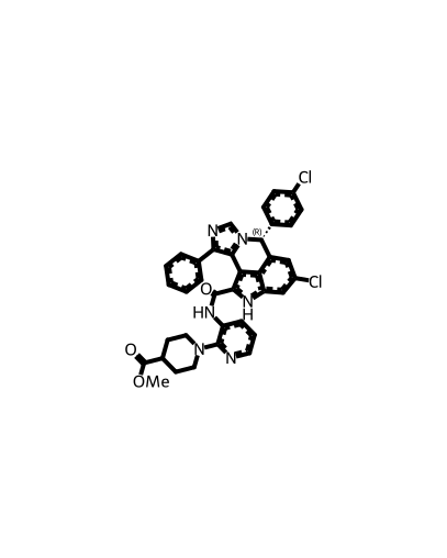 COC(=O)C1CCN(c2ncccc2NC(=O)c2[nH]c3cc(Cl)cc4c3c2-c2c(-c3ccccc3)ncn2[C@@H]4c2ccc(Cl)cc2)CC1